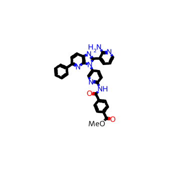 COC(=O)c1ccc(C(=O)Nc2ccc(-n3c(-c4cccnc4N)nc4ccc(-c5ccccc5)nc43)cn2)cc1